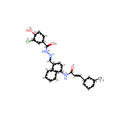 O=C(/C=C/c1cccc(C(F)(F)F)c1)Nc1ccc(/C=N/NC(=O)c2ccc(O)c(Cl)c2)c2ccccc12